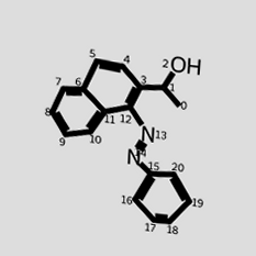 CC(O)c1ccc2ccccc2c1N=Nc1ccccc1